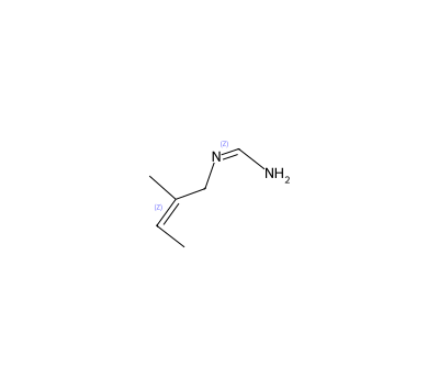 C/C=C(/C)C/N=C\N